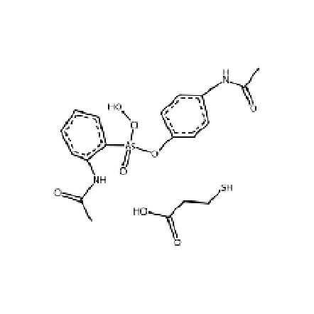 CC(=O)Nc1ccc(O[As](=O)(OO)c2ccccc2NC(C)=O)cc1.O=C(O)CCS